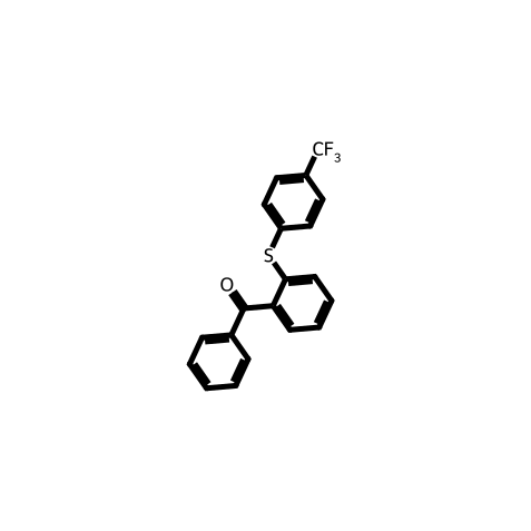 O=C(c1ccccc1)c1ccccc1Sc1ccc(C(F)(F)F)cc1